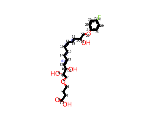 O=C(O)CCCOC[C@H](O)[C@H](O)/C=C/C=C/C=C\C=C\[C@H](O)COc1ccc(F)cc1